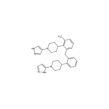 Cc1cccc(Cc2ccccc2C2CCN(c3ccn[nH]3)CC2)c1C1CCN(c2cn[nH]c2)CC1